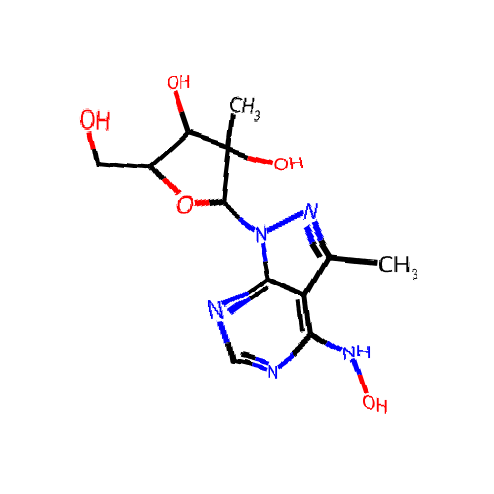 Cc1nn(C2OC(CO)C(O)C2(C)O)c2ncnc(NO)c12